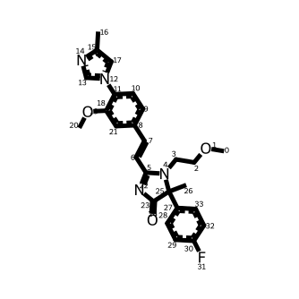 COCCN1C(/C=C/c2ccc(-n3cnc(C)c3)c(OC)c2)=NC(=O)C1(C)c1ccc(F)cc1